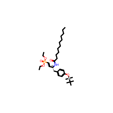 CCCCCCCCCCCC(=O)N[C@@H](/C=C/P(=O)(OCC)OCC)Cc1ccc(O[Si](C)(C)C(C)(C)C)cc1